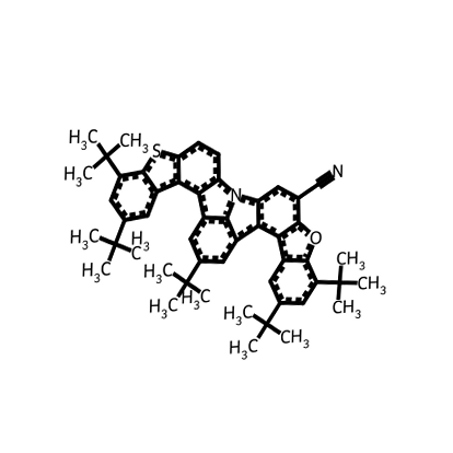 CC(C)(C)c1cc(C(C)(C)C)c2sc3ccc4c(c5cc(C(C)(C)C)cc6c7c8c(oc9c(C(C)(C)C)cc(C(C)(C)C)cc98)c(C#N)cc7n4c56)c3c2c1